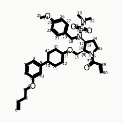 C=CCCOc1cccc(C2CCC(OC[C@H]3[C@@H](N(Cc4ccc(OC)cc4)S(=O)(=O)N(C)C)CCN3C(=O)C=C)CC2)c1